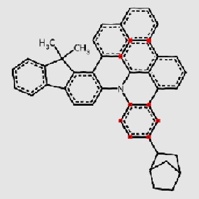 CC1(C)c2ccccc2-c2ccc(N(c3ccc(C4CC5CCC4C5)cc3)c3cccc4cccc(C5CCCCC5)c34)c(-c3ccc4ccccc4c3)c21